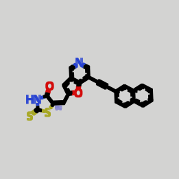 O=C1NC(=S)S/C1=C/c1cc2cncc(C#Cc3ccc4ccccc4c3)c2o1